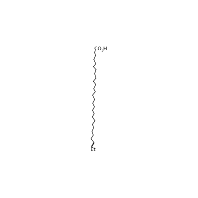 CCC=CCCCCCCCCCCCCCCCCCCCCCCCCCC(=O)O